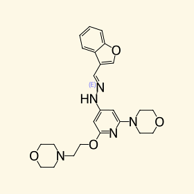 C(=N\Nc1cc(OCCN2CCOCC2)nc(N2CCOCC2)c1)/c1coc2ccccc12